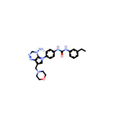 CCc1cccc(NC(=O)Nc2ccc(-n3cc(CN4CCOCC4)c4c3N(N)CN=N4)cc2)c1